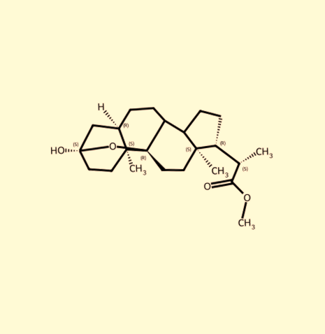 COC(=O)[C@@H](C)[C@H]1CCC2C3CC[C@@H]4C[C@]5(O)CC[C@]4(C)[C@]3(CC[C@@]21C)O5